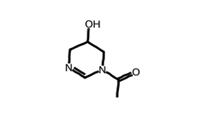 CC(=O)N1C=NCC(O)C1